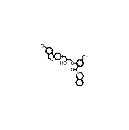 O=C(c1ccc(O)cc1OC[C@@H](O)CN1CCC2(CC1)OCc1cc(Cl)ccc12)N1C=C2CC=CC=C2CC1